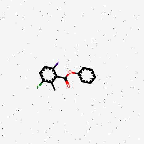 Cc1c(F)ccc(I)c1C(=O)Oc1ccccc1